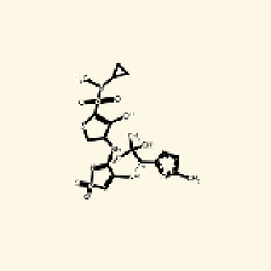 Cc1ccc([C@H](NC2=CS(=O)(=O)N=C2NC2CSC(S(=O)(=O)N(C)C3CC3)=C2O)C(C)(C)C)o1